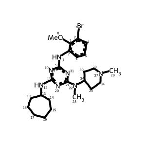 COc1c(Br)cccc1Nc1nc(NC2CCCCCC2)nc(N(C)C2CCN(C)CC2)n1